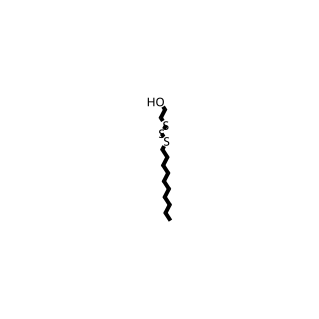 CCCCCCCCCCSSSCCO